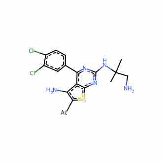 CC(=O)c1sc2nc(NC(C)(C)CN)nc(-c3ccc(Cl)c(Cl)c3)c2c1N